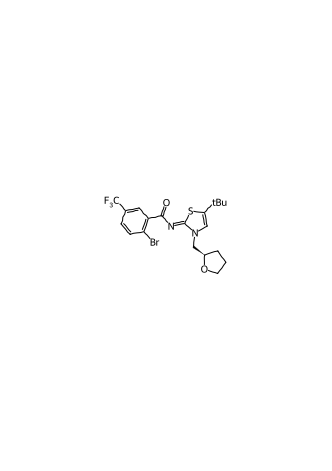 CC(C)(C)c1cn(C[C@H]2CCCO2)/c(=N/C(=O)c2cc(C(F)(F)F)ccc2Br)s1